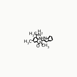 Cc1cc(C(C)N)c2nc(-c3cc4ccccc4[nH]3)n(C)c(=O)c2c1